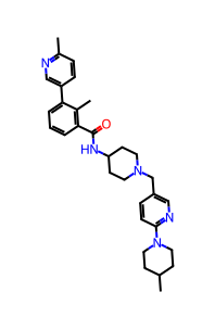 Cc1ccc(-c2cccc(C(=O)NC3CCN(Cc4ccc(N5CCC(C)CC5)nc4)CC3)c2C)cn1